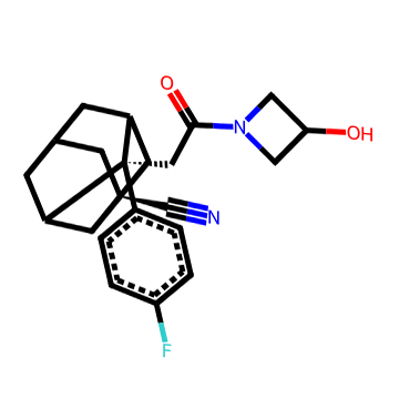 N#C[C@]12CC3CC(C1)[C@](CC(=O)N1CC(O)C1)(c1ccc(F)cc1)C(C3)C2